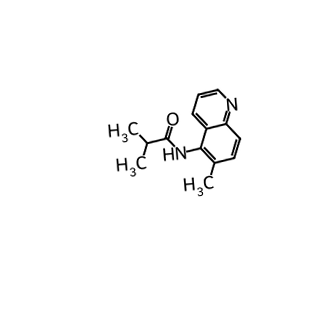 Cc1ccc2ncccc2c1NC(=O)C(C)C